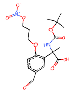 CC(C)(C)OC(=O)NC(C)(C(=O)O)c1cc(C=O)ccc1OCCCO[N+](=O)[O-]